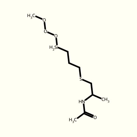 COOO[SiH2]CCCSCC(C)NC(C)=O